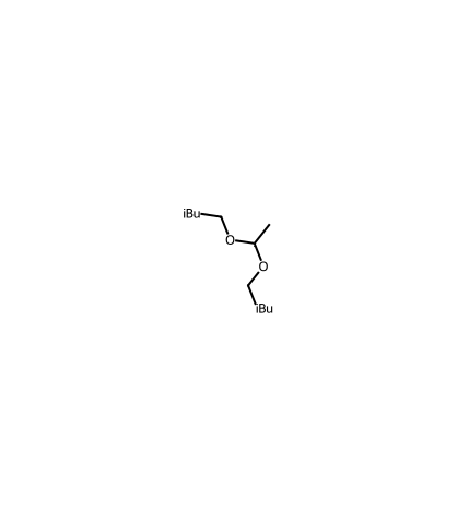 CCC(C)CO[C](C)OCC(C)CC